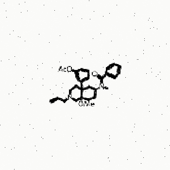 C=CCN1CCC2(c3cccc(OC(C)=O)c3)C[C@@H](N(C)C(=O)c3ccccc3)CCC2(OC)C1